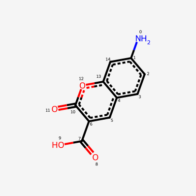 Nc1ccc2cc(C(=O)O)c(=O)oc2c1